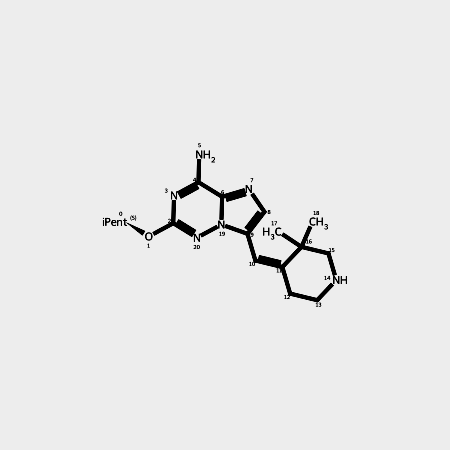 CCC[C@H](C)Oc1nc(N)c2ncc(C=C3CCNCC3(C)C)n2n1